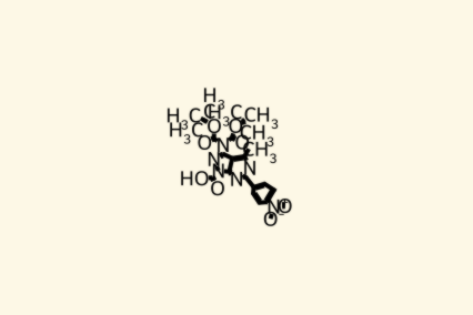 Cc1nc(-c2ccc([N+](=O)[O-])cc2)nc2c1c(N(C(=O)OC(C)(C)C)C(=O)OC(C)(C)C)nn2C(=O)O